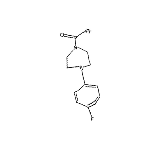 CC(C)C(=O)N1CCN(c2ccc(F)cc2)CC1